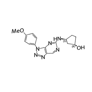 COc1ccc(-n2nnc3cnc(N[C@H]4CC[C@@H](O)C4)nc32)cc1